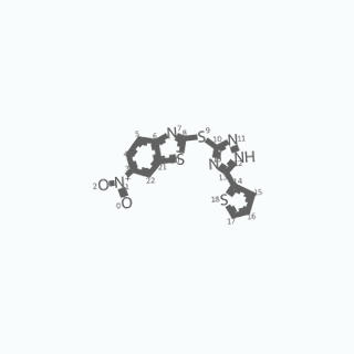 O=[N+]([O-])c1ccc2nc(Sc3n[nH]c(-c4cccs4)n3)sc2c1